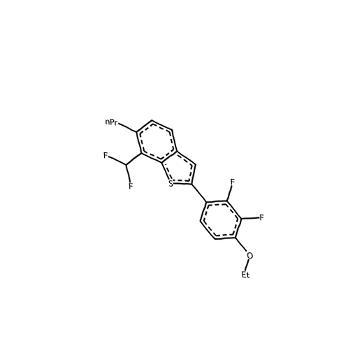 CCCc1ccc2cc(-c3ccc(OCC)c(F)c3F)sc2c1C(F)F